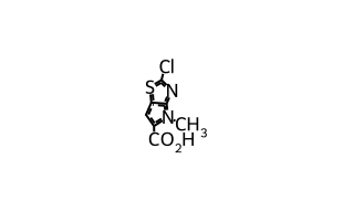 Cn1c(C(=O)O)cc2sc(Cl)nc21